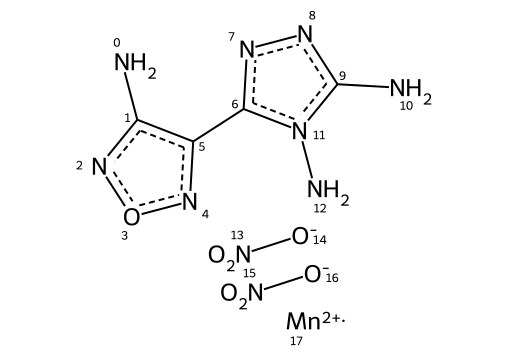 Nc1nonc1-c1nnc(N)n1N.O=[N+]([O-])[O-].O=[N+]([O-])[O-].[Mn+2]